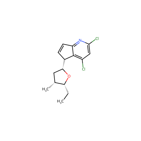 CC[C@H]1O[C@@H](C2C=Cc3nc(Cl)cc(Cl)c32)C[C@H]1C